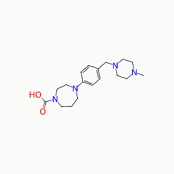 CN1CCN(Cc2ccc(N3CCCN(C(=O)O)CC3)cc2)CC1